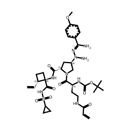 C=CC(=O)NCC[C@H](NC(=O)OC(C)(C)C)C(=O)N1C[C@H](N(N)/N=C(\N)c2ccc(OC)cc2)C[C@H]1C(=O)N[C@]1(C(=O)NS(=O)(=O)C2CC2)CC[C@H]1C=C